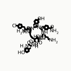 NCCCC[C@@H]1NC(=O)[C@@H](Cc2ccc(C(N)=O)cc2)NC(=O)[C@H](Cc2ccc(O)cc2)NC(=O)[C@H](NC(=O)[C@@H](N)Cc2ccc(Cl)cc2)CC=CC2[C@@H](C(=O)N[C@H](Cc3ccc(O)cc3)C(N)=O)NC(=O)[C@@H](NC1=O)[C@@H]2O